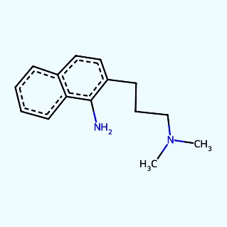 CN(C)CCCc1ccc2ccccc2c1N